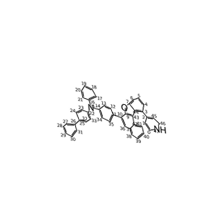 C1=CC(c2cccc3oc4c(-c5ccc(N(c6ccccc6)c6ccc(-c7ccccc7)cc6)cc5)cc5ccccc5c4c23)=CCN1